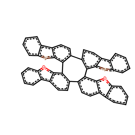 c1ccc2c(c1)oc1c3c(ccc12)-c1ccc2c(oc4ccccc42)c1-c1c(ccc2c1sc1ccccc12)-c1ccc2c(sc4ccccc42)c1-3